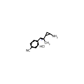 C/C(=C\c1ccc(C#N)cc1)C1CC1N.Cl